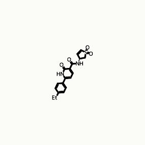 CCc1ccc(-c2ccc(C(=O)N[C@@H]3C=CS(=O)(=O)C3)c(=O)[nH]2)cc1